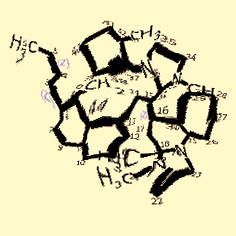 C=c1/c(=C\C=C/C)ccc2cccc(C/C(=C3\C[C@@]4(C)N(C)C=CN4c4ccccc43)C3N(C)C=CN3c3ccccc3C)c12